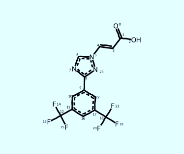 O=C(O)C=Cn1cnc(-c2cc(C(F)(F)F)cc(C(F)(F)F)c2)n1